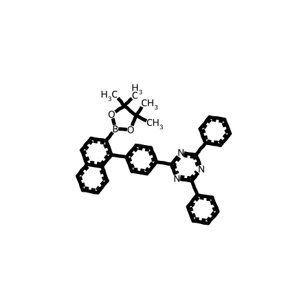 CC1(C)OB(c2ccc3ccccc3c2-c2ccc(-c3nc(-c4ccccc4)nc(-c4ccccc4)n3)cc2)OC1(C)C